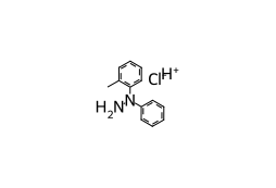 Cc1ccccc1N(N)c1ccccc1.[Cl-].[H+]